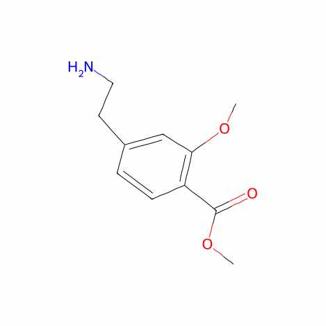 COC(=O)c1ccc(CCN)cc1OC